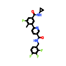 Cc1c(F)cc(C(=O)NC2CC2)cc1-c1ccc(C(=O)NCc2ccc(F)c(F)c2F)cn1